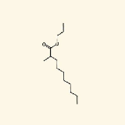 C=CCOC(=O)C(C)CCCCCCCC